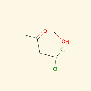 CC(=O)CC(Cl)Cl.CO